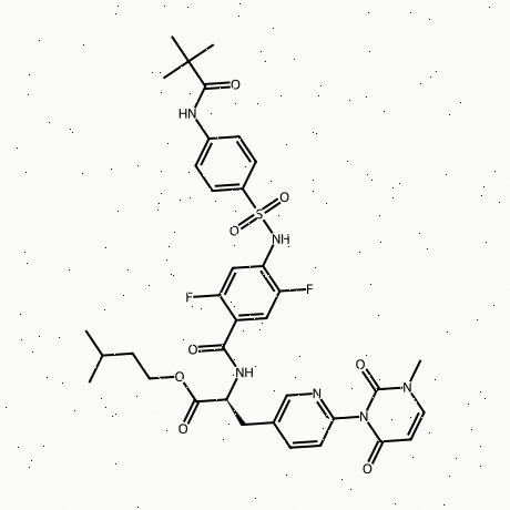 CC(C)CCOC(=O)[C@H](Cc1ccc(-n2c(=O)ccn(C)c2=O)nc1)NC(=O)c1cc(F)c(NS(=O)(=O)c2ccc(NC(=O)C(C)(C)C)cc2)cc1F